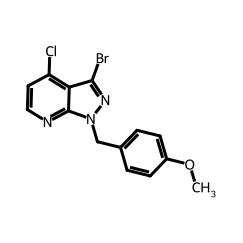 COc1ccc(Cn2nc(Br)c3c(Cl)ccnc32)cc1